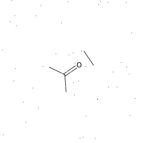 CC(C)=O.[CH2]C